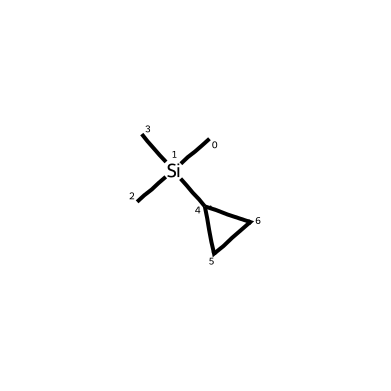 C[Si](C)(C)[C]1CC1